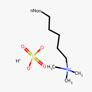 CCCCCCCCCCCCCC[N+](C)(C)C.O=S(=O)([O-])[O-].[H+]